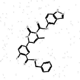 CC1=CC(c2ccc(F)c(C(=O)NCc3ccccc3)c2)NC(=O)N1C(=O)Nc1ccc2[nH]ncc2c1